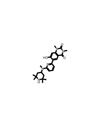 CN(c1cccc(-c2cc3c(=O)n(C)c(=O)n(C)c3cc2O)n1)C1CC(C)(C)NC(C)(C)C1